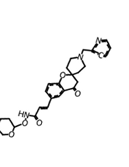 O=C(C=Cc1ccc2c(c1)C(=O)CC1(CCN(Cc3ccccn3)CC1)O2)NOC1CCCCO1